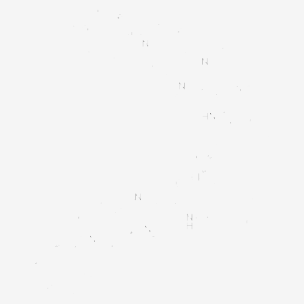 Cn1c(C(=O)Nc2cccc(-c3cccc(NC(=O)c4nc5c(n4C)CCN(C4CCOCC4)C5)c3Cl)c2Cl)nc2c1CCN(C1CCCCC1)C2